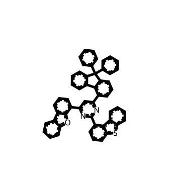 c1ccc(C2(c3ccccc3)c3ccccc3-c3c(-c4cc(-c5cccc6c5oc5ccccc56)nc(-c5cccc6sc7ccccc7c56)n4)cccc32)cc1